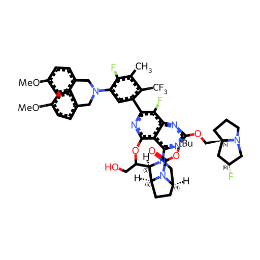 COc1ccc(CN(Cc2ccc(OC)cc2)c2cc(-c3nc4c5c(nc(OC[C@@]67CCCN6C[C@H](F)C7)nc5c3F)N3C[C@H]5CC[C@@H]([C@H]3C(CO)O4)N5C(=O)OC(C)(C)C)c(C(F)(F)F)c(C)c2F)cc1